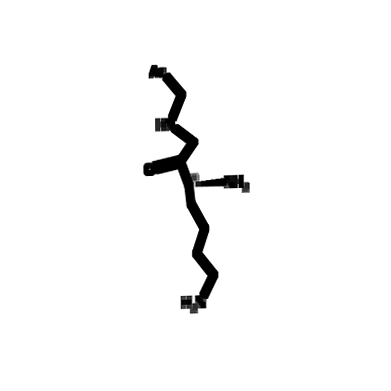 CC(=O)CNCC(=O)[C@H](N)CCCCN